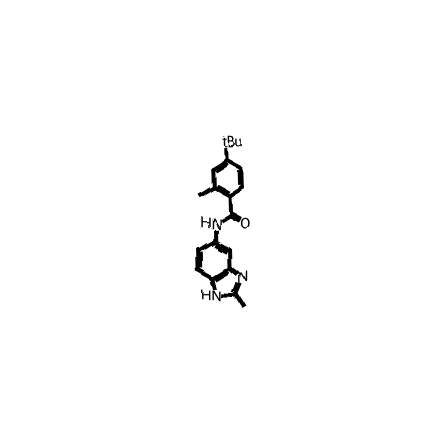 Cc1nc2cc(NC(=O)c3ccc(C(C)(C)C)cc3C)ccc2[nH]1